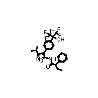 CCC(C(=O)Nc1onc(C(C)C)c1-c1ccc(C(O)(C(F)(F)F)C(F)(F)F)cc1)c1ccccc1